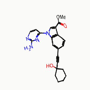 COC(=O)c1cn(-c2ccnc(N)n2)c2cc(C#CC3(O)CCCCC3)ccc12